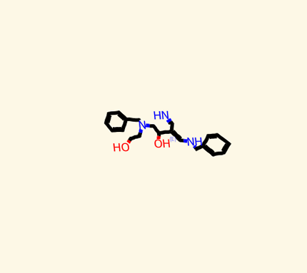 N=C/C(=C\NCc1ccccc1)C(O)CN(CCO)Cc1ccccc1